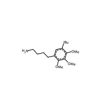 COc1c(CCCCN)cc(C(C)(C)C)c(OC)c1OC